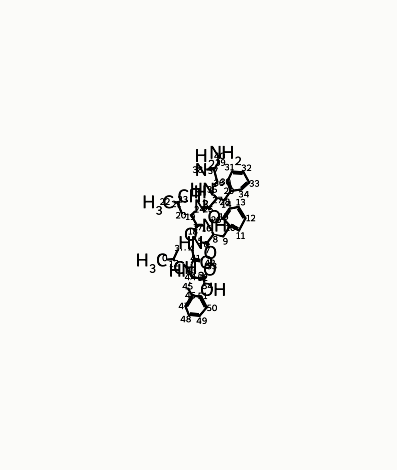 CC(C)C[C@H](NC(=O)[C@H](Cc1ccccc1)NC(=O)[C@H](CC(C)C)NC(=O)[C@H](Cc1ccccc1)NCC(N)CN)C(=O)N[C@@H](Cc1ccccc1)C(=O)O